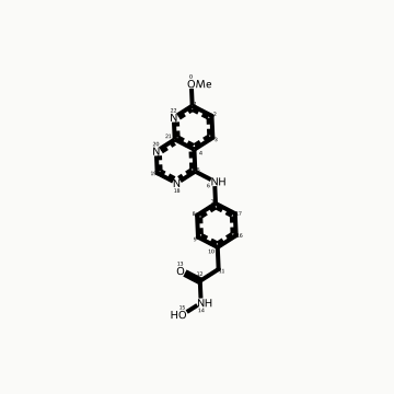 COc1ccc2c(Nc3ccc(CC(=O)NO)cc3)ncnc2n1